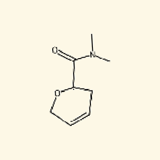 CN(C)C(=O)[C]1CC=CCO1